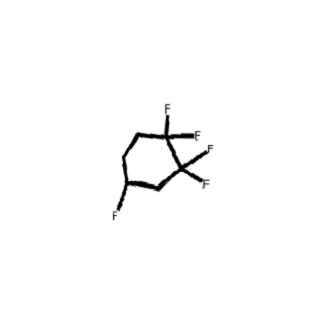 FC1CCC(F)(F)C(F)(F)C1